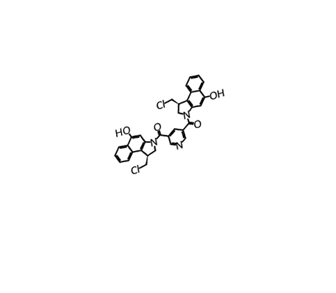 O=C(c1cncc(C(=O)N2C[C@@H](CCl)c3c2cc(O)c2ccccc32)c1)N1C[C@@H](CCl)c2c1cc(O)c1ccccc21